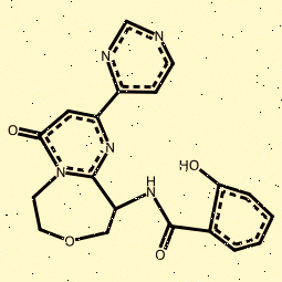 O=C(NC1COCCn2c1nc(-c1ccncn1)cc2=O)c1ccccc1O